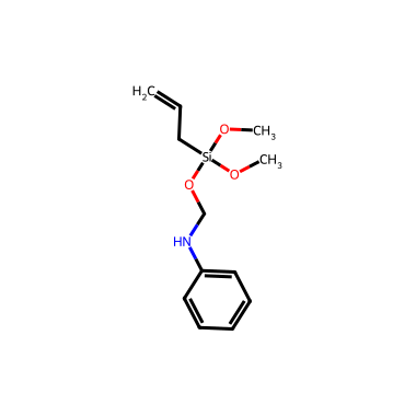 C=CC[Si](OC)(OC)OCNc1ccccc1